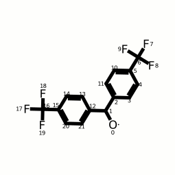 [O]C(c1ccc(C(F)(F)F)cc1)c1ccc(C(F)(F)F)cc1